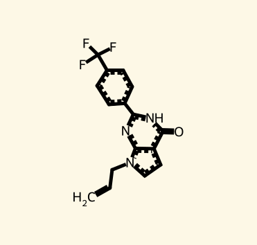 C=CCn1ccc2c(=O)[nH]c(-c3ccc(C(F)(F)F)cc3)nc21